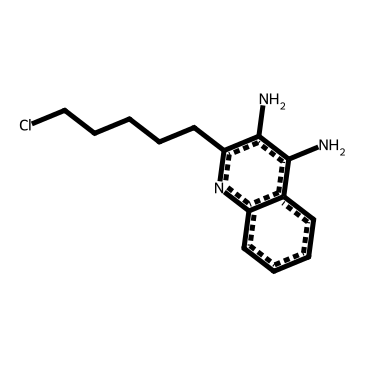 Nc1c(CCCCCCl)nc2ccccc2c1N